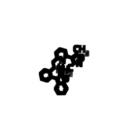 Cc1noc(C)c1-c1cccc(C[C@H](N)c2ccccc2-c2noc3ccccc23)n1